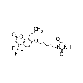 CCCc1c(OCCCCCN2C(=O)CNC2=O)ccc2c(C(F)(F)F)cc(=O)oc12